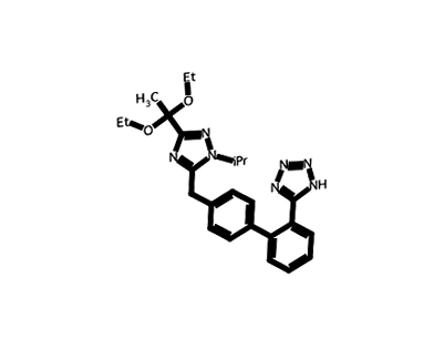 CCOC(C)(OCC)c1nc(Cc2ccc(-c3ccccc3-c3nnn[nH]3)cc2)n(C(C)C)n1